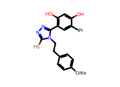 COc1ccc(CCn2c(S)nnc2-c2cc(C(C)C)c(O)cc2O)cc1